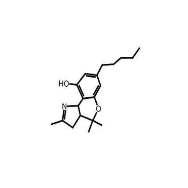 CCCCCc1cc(O)c2c(c1)OC(C)(C)C1CC(C)=NC21